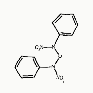 O=[N+]([O-])N(ON(c1ccccc1)[N+](=O)[O-])c1ccccc1